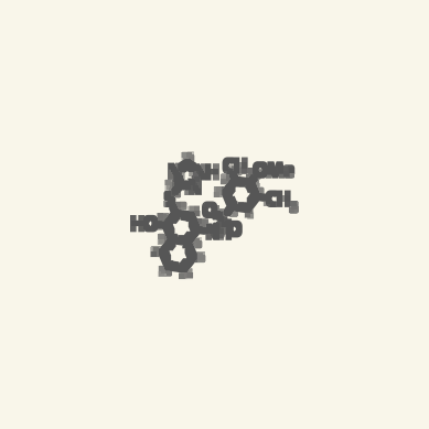 COc1c(C)cc(S(=O)(=O)Nc2cc(Sc3nc[nH]n3)c(O)c3ccccc23)cc1C